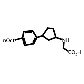 CCCCCCCCc1ccc(C2CCC(NCC(=O)O)C2)cc1